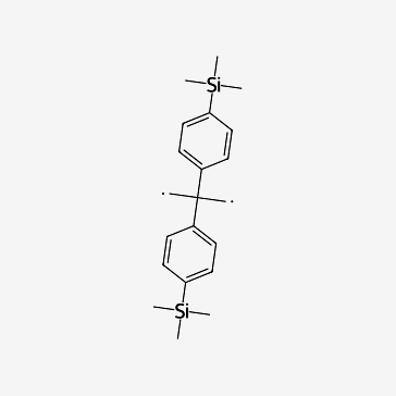 [CH2]C([CH2])(c1ccc([Si](C)(C)C)cc1)c1ccc([Si](C)(C)C)cc1